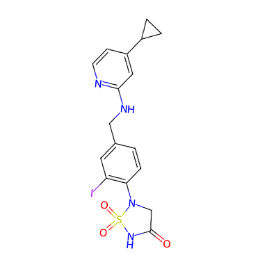 O=C1CN(c2ccc(CNc3cc(C4CC4)ccn3)cc2I)S(=O)(=O)N1